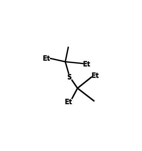 CCC(C)(CC)SC(C)(CC)CC